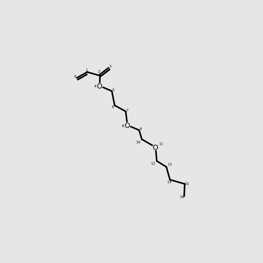 C=CC(=C)OCCCOCCOCCCCC